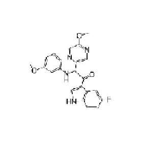 COc1cccc(NC(C(=O)c2c[nH]c3ccc(F)cc23)c2cnc(OC)cn2)c1